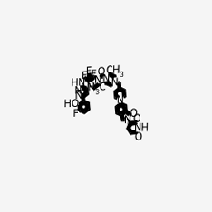 C[C@@H]1CN(CC2CCN(c3ccc4c(c3)C(=O)N([C@@H]3CCC(=O)NC3=O)C4)CC2)C[C@@H](C)N1C(=O)N1CCN2c3cc(-c4cccc(F)c4O)nnc3NC[C@]2(C(F)(F)F)C1